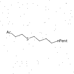 CCCCCCCCCSCCC(C)=O